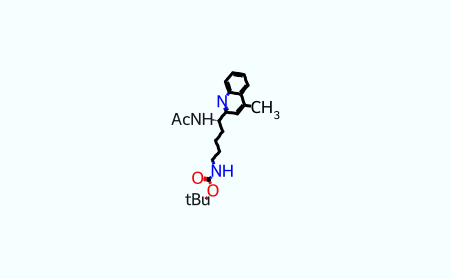 CC(=O)N[C@@H](CCCCNC(=O)OC(C)(C)C)c1cc(C)c2ccccc2n1